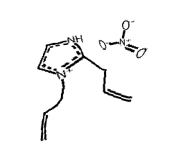 C=CCc1[nH]cc[n+]1CC=C.O=[N+]([O-])[O-]